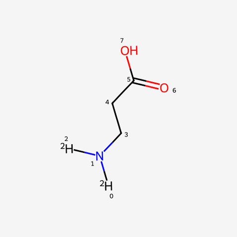 [2H]N([2H])CCC(=O)O